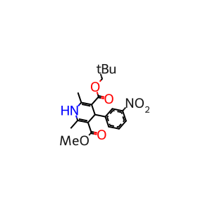 COC(=O)C1=C(C)NC(C)=C(C(=O)OCC(C)(C)C)C1c1cccc([N+](=O)[O-])c1